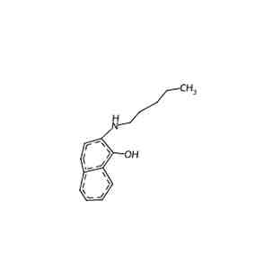 CCCCCNc1ccc2ccccc2c1O